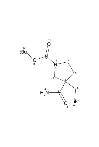 CC(C)CC1(C(N)=O)CCN(C(=O)OC(C)(C)C)C1